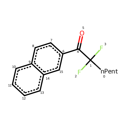 CCCCCC(F)(F)C(=O)c1ccc2ccccc2c1